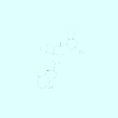 CC(C)(CC(O)(CNc1ccc2[nH]ccc(=O)c2c1)C(F)(F)F)c1cc(Br)cc2c1OCC2